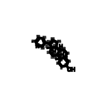 C[C@]12CC[C@H](O)C=C1CC[C@@H]1[C@@H]2CC[C@]2(C)C(c3cccnc3)=CC[C@@H]12